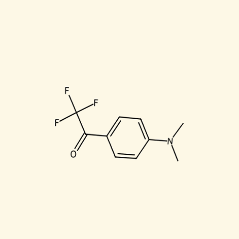 CN(C)c1ccc(C(=O)C(F)(F)F)cc1